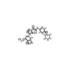 Cc1cc(-c2noc(C(=O)NCc3ccc(OC4CCCCC4)cc3)n2)cc(I)c1O